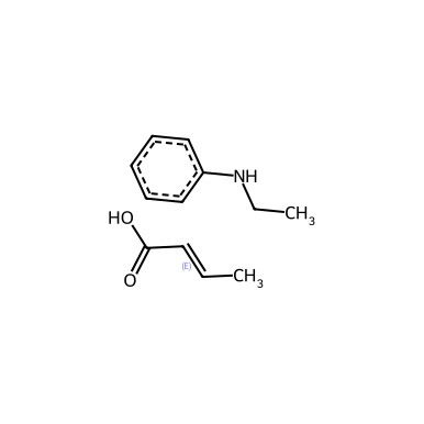 C/C=C/C(=O)O.CCNc1ccccc1